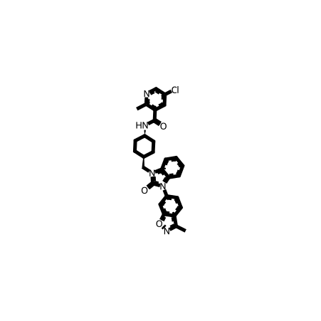 Cc1ncc(Cl)cc1C(=O)N[C@H]1CC[C@H](Cn2c(=O)n(-c3ccc4c(C)noc4c3)c3ccccc32)CC1